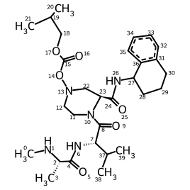 CN[C@@H](C)C(=O)N[C@H](C(=O)N1CCN(OC(=O)OCC(C)C)C[C@H]1C(=O)NC1CCCc2ccccc21)C(C)C